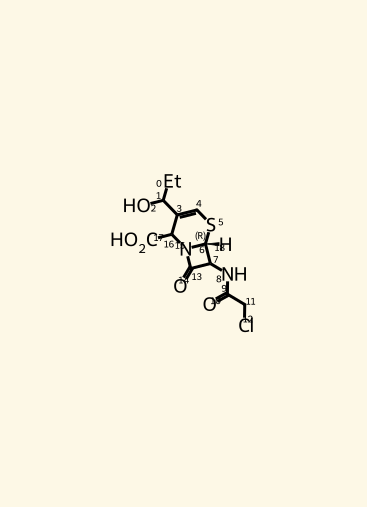 CCC(O)C1=CS[C@@H]2C(NC(=O)CCl)C(=O)N2C1C(=O)O